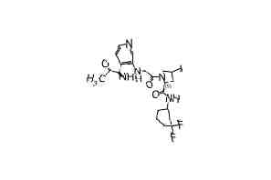 CC(=O)C(=N)c1ccncc1NCC(=O)N1CC(I)C[C@H]1C(=O)NC1CCCC(F)(F)C1